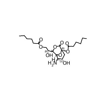 CCCCCC(=O)OC[C@@H](O)[C@H]1OC(=O)[C@]2(OC(=O)CCCCC)C[C@H](O)[C@@H](N)[C@@H]1O2